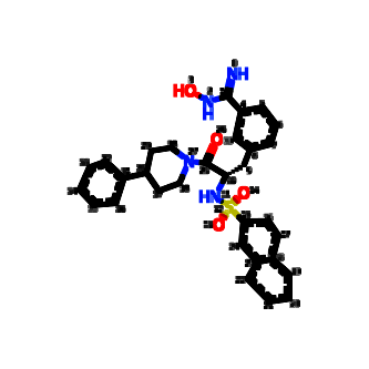 N=C(NO)c1cccc(C[C@H](NS(=O)(=O)c2ccc3ccccc3c2)C(=O)N2CCC(c3ccccc3)CC2)c1